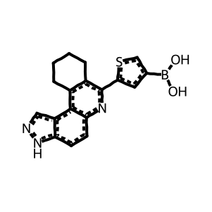 OB(O)c1csc(-c2nc3ccc4[nH]ncc4c3c3c2CCCC3)c1